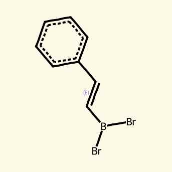 BrB(Br)/C=C/c1ccccc1